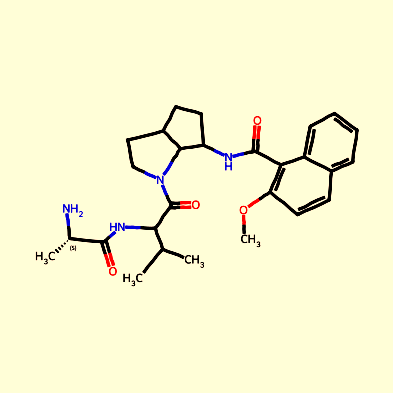 COc1ccc2ccccc2c1C(=O)NC1CCC2CCN(C(=O)C(NC(=O)[C@H](C)N)C(C)C)C21